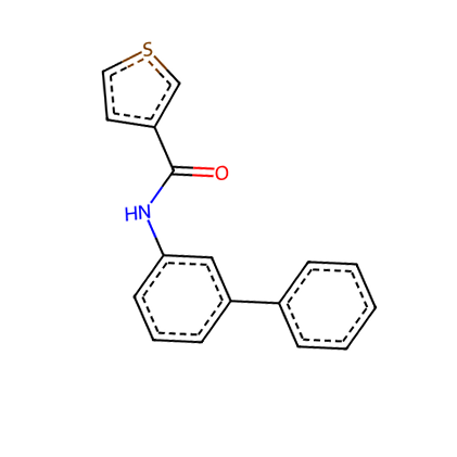 O=C(Nc1cccc(-c2ccccc2)c1)c1ccsc1